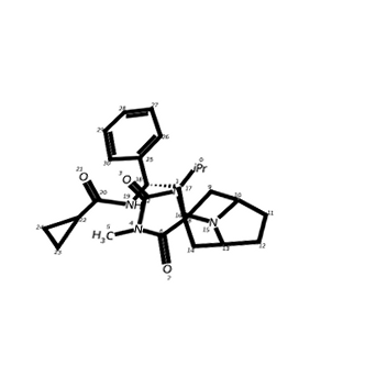 CC(C)N1C(=O)N(C)C(=O)C12CC1CCC(C2)N1CC[C@H](NC(=O)C1CC1)c1ccccc1